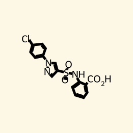 O=C(O)c1ccccc1NS(=O)(=O)c1cnn(-c2ccc(Cl)cc2)c1